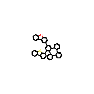 c1ccc2c(c1)-c1ccccc1-c1cc(-c3ccc4oc5ccccc5c4c3)cc(-c3cccc4c3sc3ccccc34)c1-c1ccccc1-2